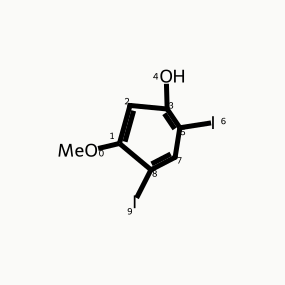 COc1cc(O)c(I)cc1I